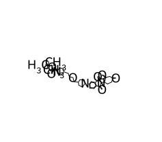 CC(C)(C)OC(=O)N1CCC(CCOCC2CCN(c3ccc4c(c3)C(=O)N(C3CCC(=O)CC3=O)C4=O)CC2)CC1